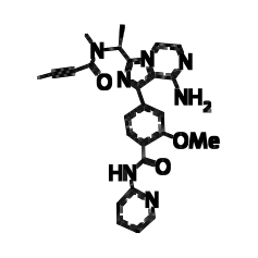 CC#CC(=O)N(C)[C@@H](C)c1nc(-c2ccc(C(=O)Nc3ccccn3)c(OC)c2)c2c(N)nccn12